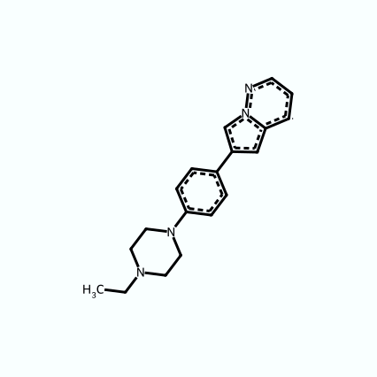 CCN1CCN(c2ccc(-c3cc4[c]ccnn4c3)cc2)CC1